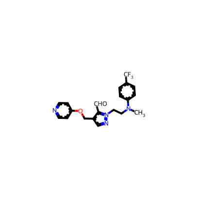 CN(CCn1ncc(COc2ccncc2)c1C=O)c1ccc(C(F)(F)F)cc1